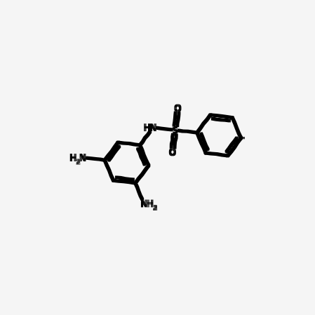 Nc1cc(N)cc(NS(=O)(=O)c2cc[c]cc2)c1